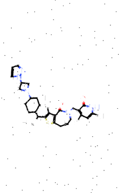 Cc1cc(C)c(CN2CCCc3sc(C(C)C4CCC(N5CC(n6cccn6)C5)CC4)c(C)c3C2=O)c(=O)[nH]1